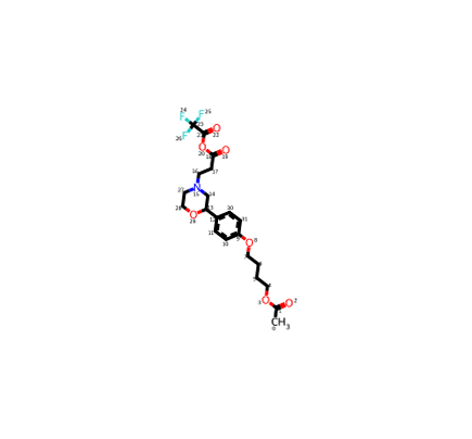 CC(=O)OCCCCOc1ccc(C2CN(CCC(=O)OC(=O)C(F)(F)F)CCO2)cc1